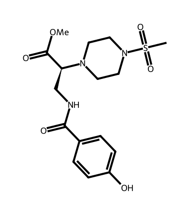 COC(=O)[C@H](CNC(=O)c1ccc(O)cc1)N1CCN(S(C)(=O)=O)CC1